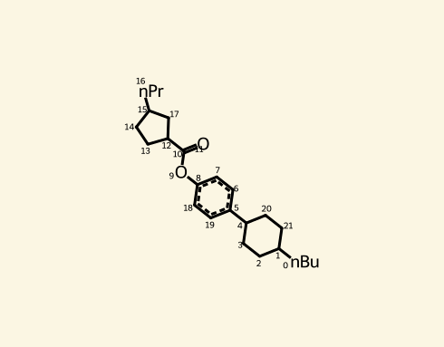 CCCCC1CCC(c2ccc(OC(=O)C3CCC(CCC)C3)cc2)CC1